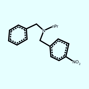 CCCN(Cc1ccccc1)Cc1ccc([N+](=O)[O-])cc1